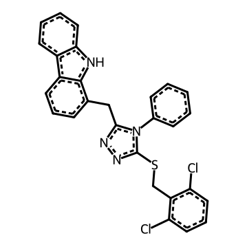 Clc1cccc(Cl)c1CSc1nnc(Cc2cccc3c2[nH]c2ccccc23)n1-c1ccccc1